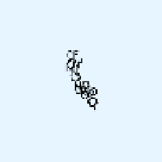 Cc1ccc(S(=O)(=O)OC2CCN(C3CCN(c4ncc(C(F)(F)F)cn4)CC3)C2=O)cc1